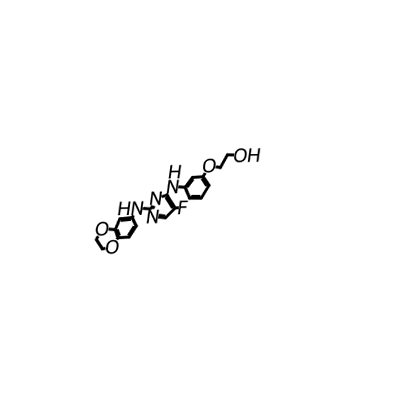 OCCOc1cccc(Nc2nc(Nc3ccc4c(c3)OCCO4)ncc2F)c1